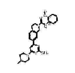 CCO[C@H]1CCCC[C@H]1NC(=O)N1CCc2ccc(-c3cc(N4CCN(C)CC4)nc(N)n3)cc2C1